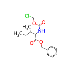 CCC(C)C(NC(=O)OCCl)C(=O)OCc1ccccc1